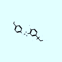 CCCCOc1ccc(C(C)(C)CC(C)(C)C)cc1S(=O)(=O)Nc1ccc(C[S])cc1